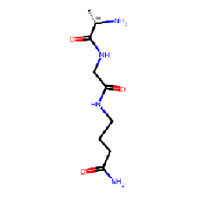 C[C@H](N)C(=O)NCC(=O)NCCCC(N)=O